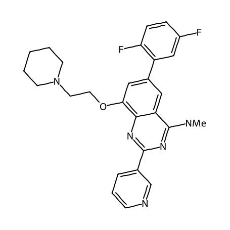 CNc1nc(-c2cccnc2)nc2c(OCCN3CCCCC3)cc(-c3cc(F)ccc3F)cc12